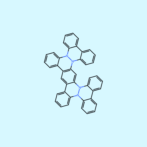 c1ccc2c(c1)c1ccccc1n1c3cc4c(cc3c3ccccc3n21)c1ccccc1n1c2ccccc2c2ccccc2n41